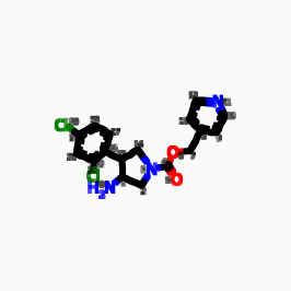 NC1CN(C(=O)OCc2ccncc2)CC1c1ccc(Cl)cc1Cl